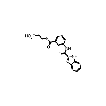 O=C(O)CCNC(=O)c1cccc(NC(=O)c2nc3ccccc3[nH]2)c1